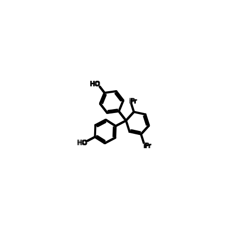 CC(C)C1=CC(c2ccc(O)cc2)(c2ccc(O)cc2)C(C(C)C)C=C1